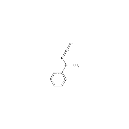 [CH3][Au]([N]=[N+]=[N-])[c]1ccccc1